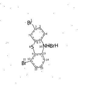 Br.Brc1ccc2c(c1)Sc1c(Br)cccc1N2